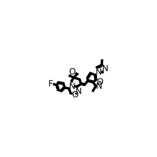 Cc1cn(-c2ccc(/C=C3\CC4(COC4)CN4C3=NOCC4c3ccc(F)cc3)c3c(C)noc23)cn1